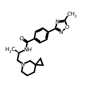 Cc1nc(-c2ccc(C(=O)N[C@H](C)CN3CCCC4(CC4)C3)cc2)no1